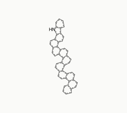 c1ccc2c(c1)ccc1ccc3c(ccc4ccc5c(ccc6ccc7c(ccc8ccc9c(ccc%10c%11ccccc%11[nH]c%109)c87)c65)c43)c12